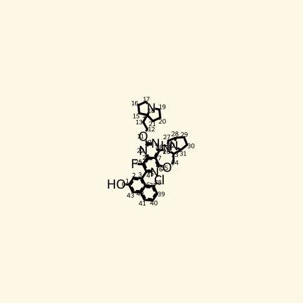 Oc1cc(-c2nc3c4c(nc(OCCC56CCCN5CCC6)nc4c2F)N2CC4CCC(N4)C2CO3)c2c(Cl)cccc2c1